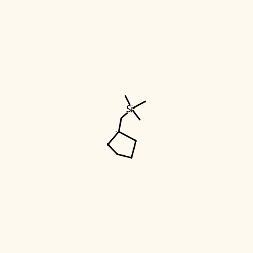 C[Si](C)(C)C[C]1CCCC1